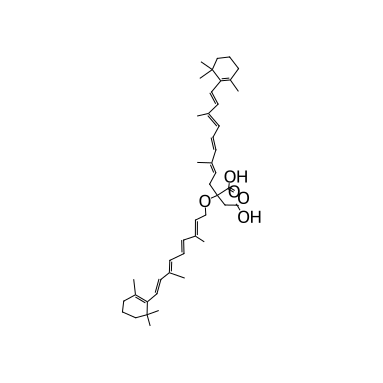 CC1=C(/C=C/C(C)=C/C=C/C(C)=C/COC(C/C=C(C)/C=C/C=C(C)/C=C/C2=C(C)CCCC2(C)C)(CC(=O)O)C(=O)O)C(C)(C)CCC1